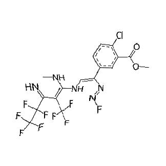 CN/C(N/C=C(\N=NF)c1ccc(Cl)c(C(=O)OC)c1)=C(\C(=N)C(F)(F)C(F)(F)F)C(F)(F)F